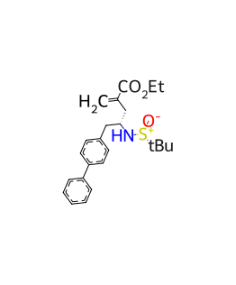 C=C(C[C@@H](Cc1ccc(-c2ccccc2)cc1)N[S+]([O-])C(C)(C)C)C(=O)OCC